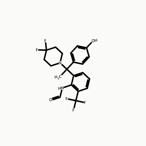 CC(c1ccc(O)cc1)(c1cccc(C(F)(F)F)c1NC=O)N1CCC(F)(F)CC1